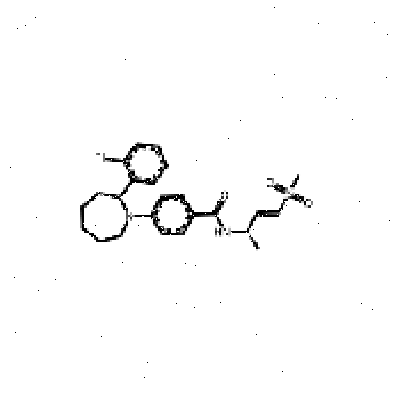 C[C@H](/C=C/S(C)(=O)=O)NC(=O)c1ccc(N2CCCCCC2c2ccccc2Cl)cc1